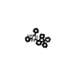 C1=CCC(C2(c3ccccc3)c3ccccc3-c3c(C4N=C(c5ccccc5)NC(c5ccccc5)N4)cccc32)C=C1